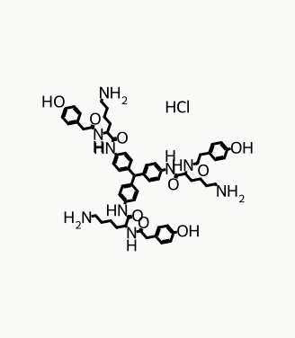 Cl.NCCCCC(NC(=O)Cc1ccc(O)cc1)C(=O)Nc1ccc(C(c2ccc(NC(=O)C(CCCCN)NC(=O)Cc3ccc(O)cc3)cc2)c2ccc(NC(=O)C(CCCCN)NC(=O)Cc3ccc(O)cc3)cc2)cc1